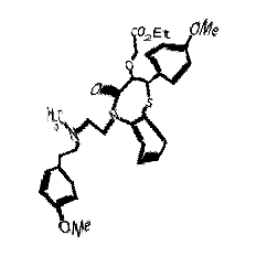 CCOC(=O)CO[C@@H]1C(=O)N(CCN(C)CCc2ccc(OC)cc2)c2ccccc2S[C@@H]1c1ccc(OC)cc1